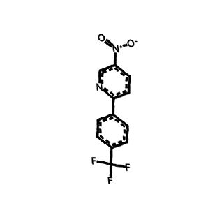 O=[N+]([O-])c1ccc(-c2ccc(C(F)(F)F)cc2)nc1